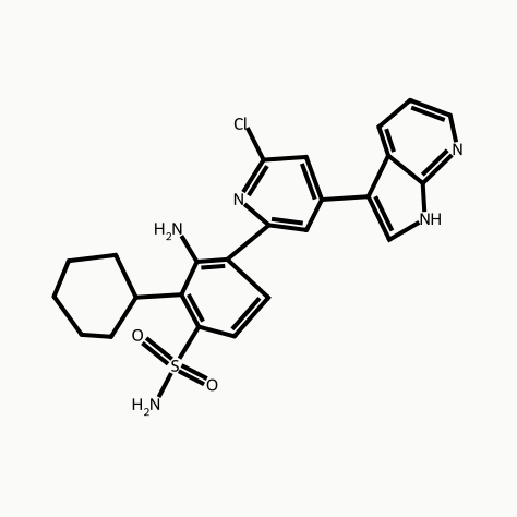 Nc1c(-c2cc(-c3c[nH]c4ncccc34)cc(Cl)n2)ccc(S(N)(=O)=O)c1C1CCCCC1